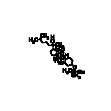 C=C(C)CCCC(C)(O)[C@H]1CC[C@H]2[C@@H]3CC=C4C[C@@H](O[Si](C)(C)C(C)(C)C)CC[C@]4(C)[C@H]3CC[C@]12C